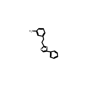 Nc1cccc(CCc2nc(-c3ccccc3)cs2)c1